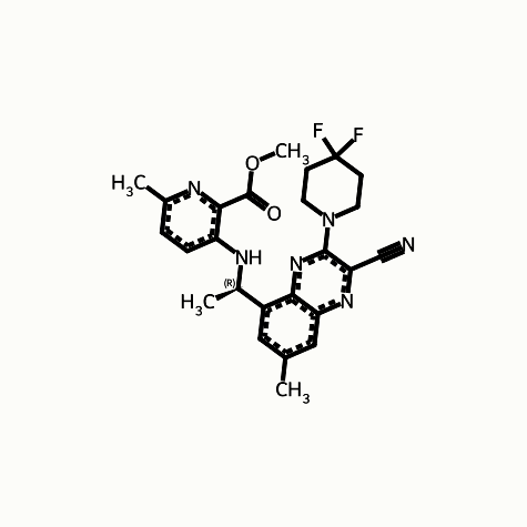 COC(=O)c1nc(C)ccc1N[C@H](C)c1cc(C)cc2nc(C#N)c(N3CCC(F)(F)CC3)nc12